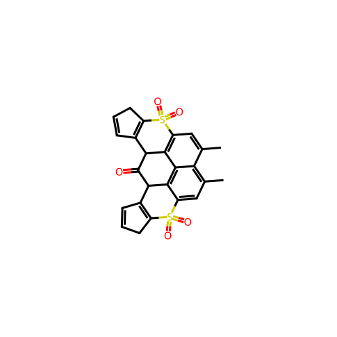 Cc1cc2c3c4c5c(cc(C)c14)S(=O)(=O)C1=C(C=CC1)C5C(=O)C3C1=C(CC=C1)S2(=O)=O